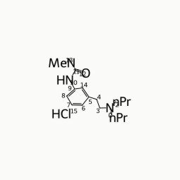 CCCN(CCC)CCc1cccc(NC(=O)NC)c1.Cl